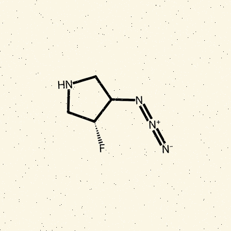 [N-]=[N+]=NC1CNC[C@H]1F